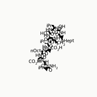 C=CCCCC(NC(=O)[C@@H](CO)NC(=O)C(CC(C)C)NC(=O)[C@@H](CO)NC(=O)C1(NC(C)=O)CC1CCCCCCC)C(=O)N(C)[C@H](CC(C)C)C(=O)NC1(C(=O)N[C@H](CCCCCCCC)C(=O)NC(CC(=O)O)C(=O)NCC(=O)NC2(C(N)=O)CC2C(C)C)CC1C(=O)O